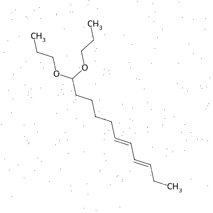 CCC=CC=CCCCCC(OCCC)OCCC